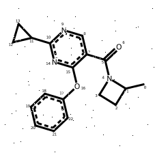 CC1CCN1C(=O)c1cnc(C2CC2)nc1Oc1ccccc1